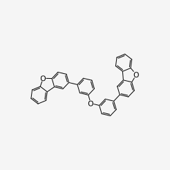 c1cc(Oc2cccc(-c3ccc4oc5ccccc5c4c3)c2)cc(-c2ccc3oc4ccccc4c3c2)c1